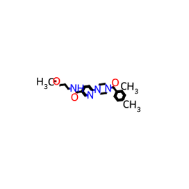 COCCCNC(=O)c1ccc(N2CCN(C(=O)c3ccc(C)cc3C)CC2)nc1